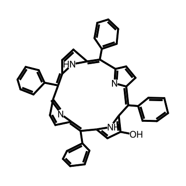 Oc1cc2[nH]c1c(-c1ccccc1)c1nc(c(-c3ccccc3)c3ccc([nH]3)c(-c3ccccc3)c3nc(c2-c2ccccc2)C=C3)C=C1